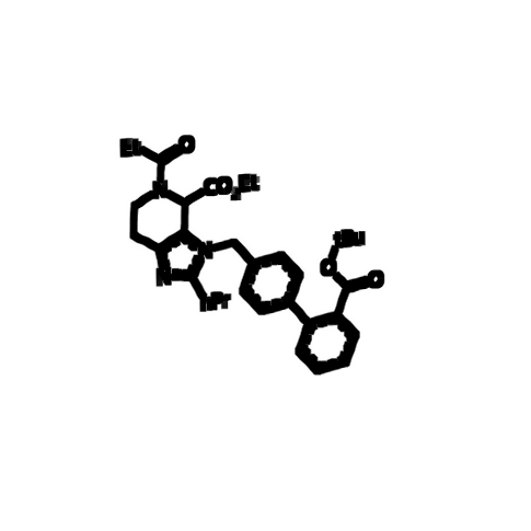 CCCc1nc2c(n1Cc1ccc(-c3ccccc3C(=O)OC(C)(C)C)cc1)C(C(=O)OCC)N(C(=O)CC)CC2